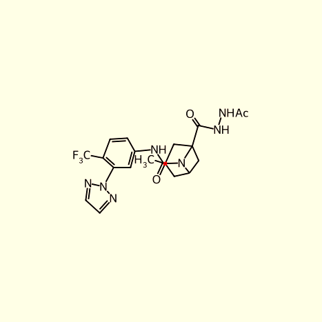 CC(=O)NNC(=O)C12CC(C)CC(C1)N2C(=O)Nc1ccc(C(F)(F)F)c(-n2nccn2)c1